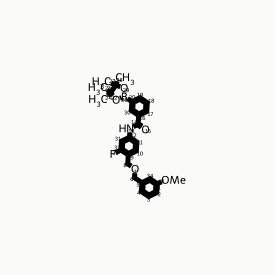 COc1cccc(COCc2ccc(NC(=O)c3cccc(B4OC(C)(C)C(C)(C)O4)c3)cc2F)c1